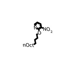 CCCCCCCCCCCCOc1ncccc1[N+](=O)[O-]